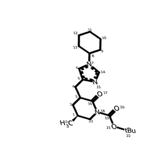 C[C@H]1CC(Cc2cn(C3CCCCC3)cn2)C(=O)N(C(=O)OC(C)(C)C)C1